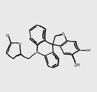 Oc1cc2c(cc1O)C1(CO2)c2ccccc2N(CC2CC=C(Cl)O2)c2ccccc21